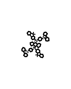 CC1(C)c2ccccc2-c2ccc(N(c3ccc(-n4c5ccccc5c5ccccc54)cc3)c3c4ccccc4c(N(c4ccc(-n5c6ccccc6c6ccccc65)cc4)c4ccc5c(c4)C(C)(C)c4ccccc4-5)c4ccccc34)cc21